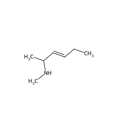 CC/C=C/C(C)NC